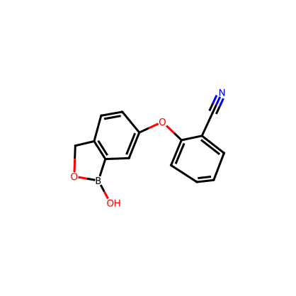 N#Cc1ccccc1Oc1ccc2c(c1)B(O)OC2